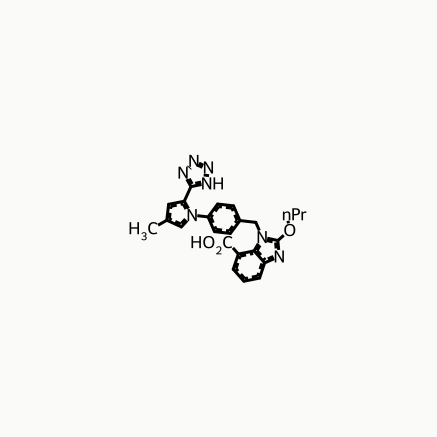 CCCOc1nc2cccc(C(=O)O)c2n1Cc1ccc(-n2cc(C)cc2-c2nnn[nH]2)cc1